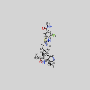 CCNC(=O)c1cc(F)c2nc(N3CCC4(C=C(c5c(-c6c(C)cncc6C)noc5C5CC5)C4)CC3)sc2c1